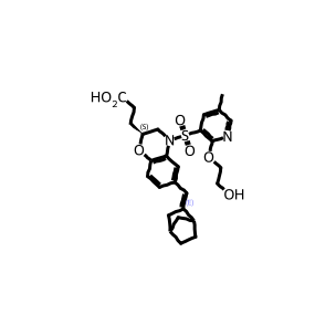 Cc1cnc(OCCO)c(S(=O)(=O)N2C[C@H](CCC(=O)O)Oc3ccc(/C=C4\CC5CCC4C5)cc32)c1